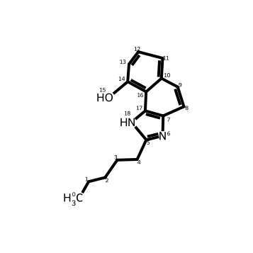 CCCCCc1nc2ccc3cccc(O)c3c2[nH]1